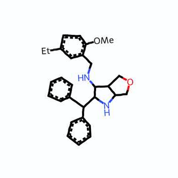 CCc1ccc(OC)c(CNC2C3COCC3NC2C(c2ccccc2)c2ccccc2)c1